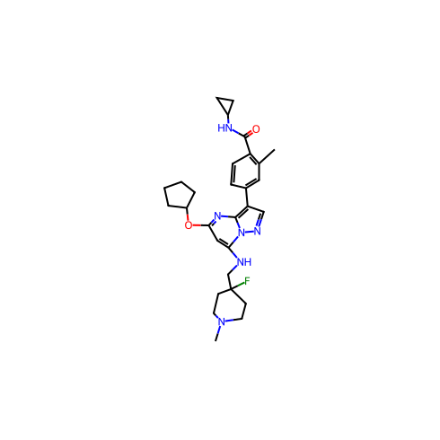 Cc1cc(-c2cnn3c(NCC4(F)CCN(C)CC4)cc(OC4CCCC4)nc23)ccc1C(=O)NC1CC1